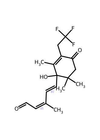 CC1=C(CC(F)(F)F)C(=O)CC(C)(C)C1(O)/C=C/C(C)=C\C=O